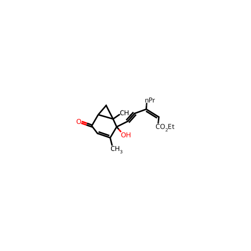 CCC/C(C#CC1(O)C(C)=CC(=O)C2CC21C)=C/C(=O)OCC